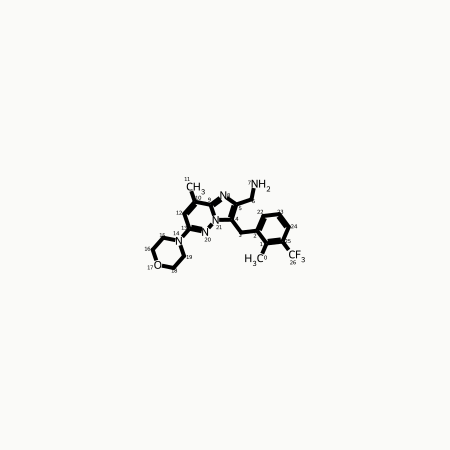 Cc1c(Cc2c(CN)nc3c(C)cc(N4CCOCC4)nn23)cccc1C(F)(F)F